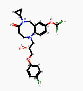 O=C1CCN(C[C@H](O)COc2ccc(Cl)cc2)c2ccc(OC(F)F)cc2CN1C1CC1